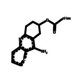 CCCCCCC(=O)OC1CCc2nc3ccccc3c(N)c2C1